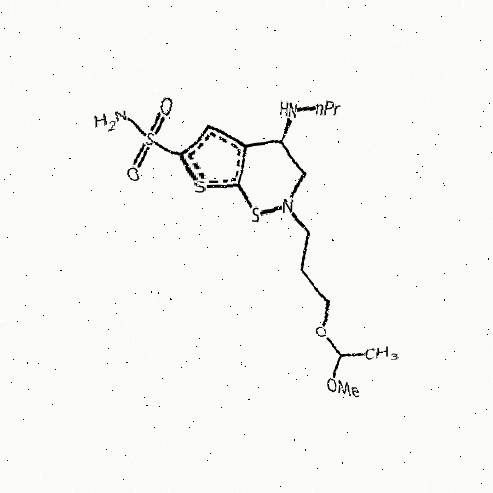 CCCN[C@H]1CN(CCCOC(C)OC)Sc2sc(S(N)(=O)=O)cc21